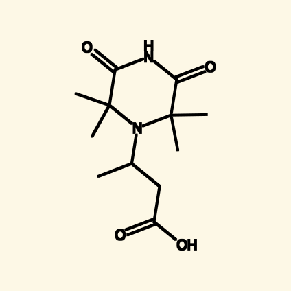 CC(CC(=O)O)N1C(C)(C)C(=O)NC(=O)C1(C)C